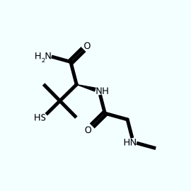 CNCC(=O)N[C@H](C(N)=O)C(C)(C)S